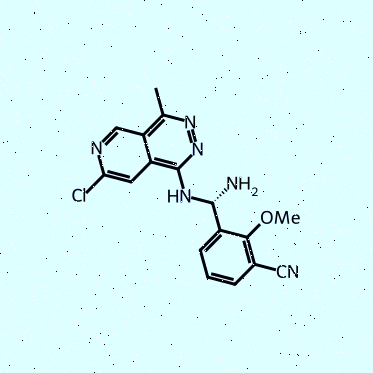 COc1c(C#N)cccc1[C@@H](N)Nc1nnc(C)c2cnc(Cl)cc12